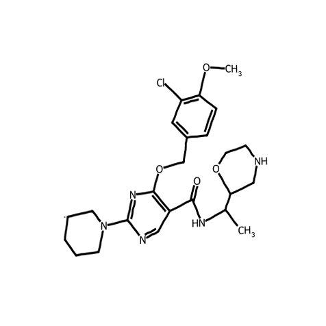 COc1ccc(COc2nc(N3C[CH]CCC3)ncc2C(=O)NC(C)C2CNCCO2)cc1Cl